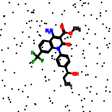 CCC(O)c1ccc(-n2c(=O)c(C(=O)OC)c(N)c3ccc(C(F)(F)F)cc32)cc1